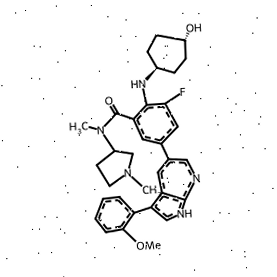 COc1ccccc1-c1c[nH]c2ncc(-c3cc(F)c(N[C@H]4CC[C@H](O)CC4)c(C(=O)N(C)C4CCN(C)C4)c3)cc12